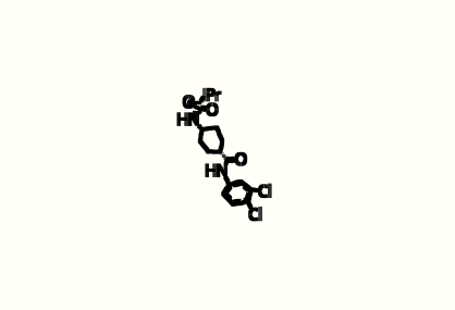 CC(C)S(=O)(=O)N[C@H]1CC[C@H](C(=O)Nc2ccc(Cl)c(Cl)c2)CC1